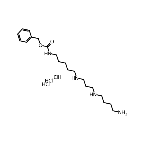 Cl.Cl.Cl.NCCCCNCCCNCCCCCNC(=O)OCc1ccccc1